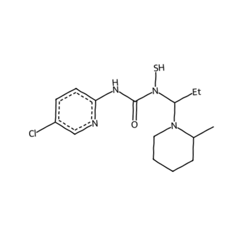 CCC(N(S)C(=O)Nc1ccc(Cl)cn1)N1CCCCC1C